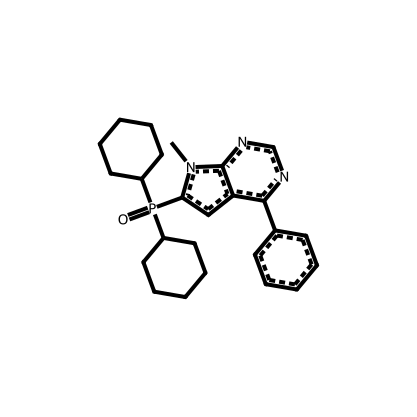 Cn1c(P(=O)(C2CCCCC2)C2CCCCC2)cc2c(-c3ccccc3)ncnc21